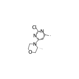 [CH2]c1cc(N2CCOC[C@H]2C)nc(Cl)n1